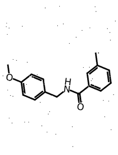 [CH2]c1cccc(C(=O)NCc2ccc(OC)cc2)c1